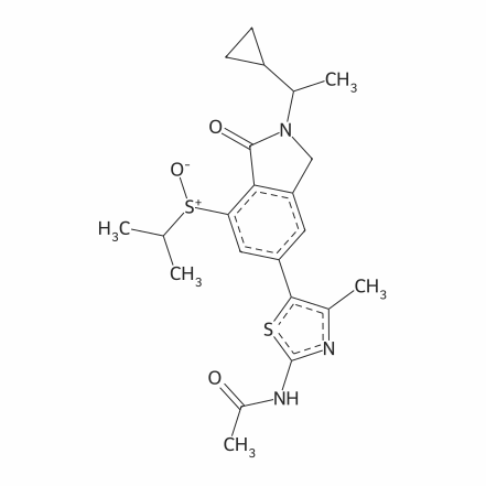 CC(=O)Nc1nc(C)c(-c2cc3c(c([S+]([O-])C(C)C)c2)C(=O)N(C(C)C2CC2)C3)s1